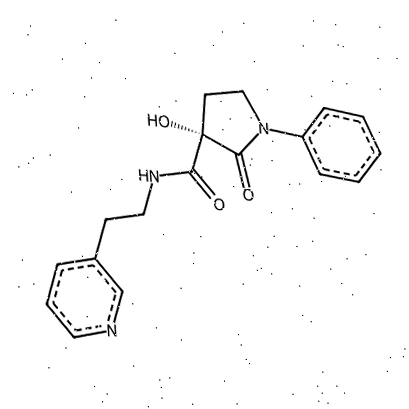 O=C(NCCc1cccnc1)[C@@]1(O)CCN(c2ccccc2)C1=O